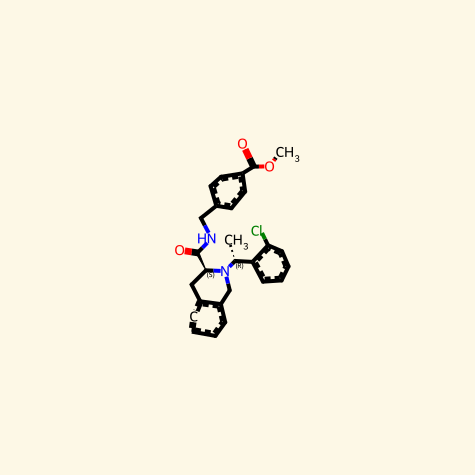 COC(=O)c1ccc(CNC(=O)[C@@H]2Cc3ccccc3CN2[C@H](C)c2ccccc2Cl)cc1